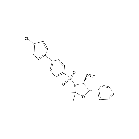 CC1(C)O[C@@H](c2ccccc2)[C@H](C(=O)O)N1S(=O)(=O)c1ccc(-c2ccc(Cl)cc2)cc1